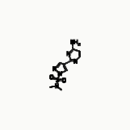 CN(C)S(=O)(=O)n1cc(-c2nccc(N)n2)cn1